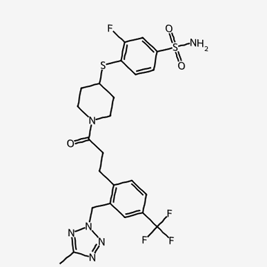 Cc1nnn(Cc2cc(C(F)(F)F)ccc2CCC(=O)N2CCC(Sc3ccc(S(N)(=O)=O)cc3F)CC2)n1